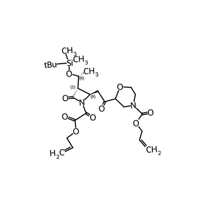 C=CCOC(=O)C(=O)N1C(=O)[C@H]([C@@H](C)O[Si](C)(C)C(C)(C)C)[C@H]1CC(=O)C1CN(C(=O)OCC=C)CCO1